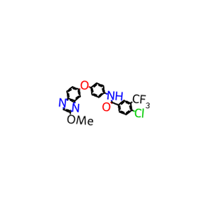 COc1cnc2ccc(Oc3ccc(NC(=O)c4ccc(Cl)c(C(F)(F)F)c4)cc3)cc2n1